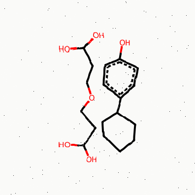 OC(O)CCOCCC(O)O.Oc1ccc(C2CCCCC2)cc1